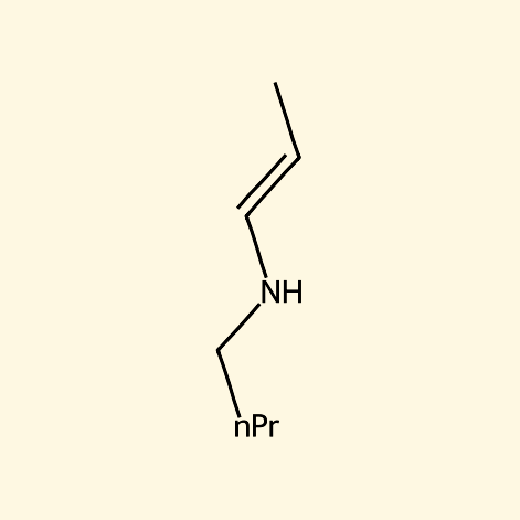 CC=CNCCCC